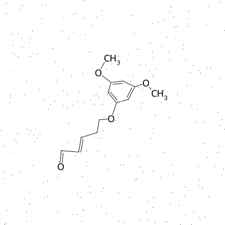 COc1cc(OC)cc(OCC/C=C/C=O)c1